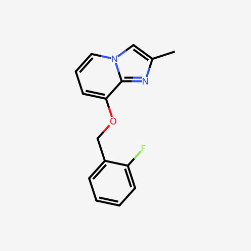 Cc1cn2cccc(OCc3ccccc3F)c2n1